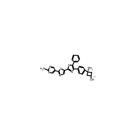 C[C@]1(O)C[C@](N)(c2ccc(-c3nc(-c4cnc(-c5cnc(N)nc5)s4)sc3-c3ccccc3)cc2)C1